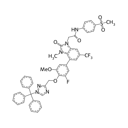 COc1cc(-c2cc(C(F)(F)F)cc3c2n(C)c(=O)n3CC(=O)Nc2ccc(S(C)(=O)=O)cc2)cc(F)c1OCc1ncn(C(c2ccccc2)(c2ccccc2)c2ccccc2)n1